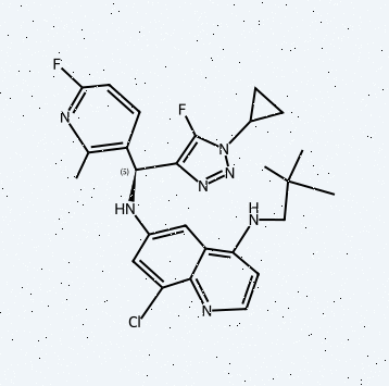 Cc1nc(F)ccc1[C@H](Nc1cc(Cl)c2nccc(NCC(C)(C)C)c2c1)c1nnn(C2CC2)c1F